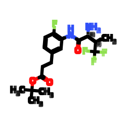 C[C@H]([C@@H](N)C(=O)Nc1cc(CCC(=O)OC(C)(C)C)ccc1F)C(F)(F)F